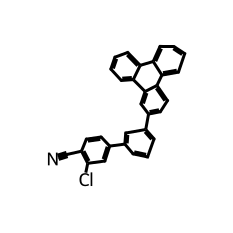 N#Cc1ccc(-c2cccc(-c3ccc4c5ccccc5c5ccccc5c4c3)c2)cc1Cl